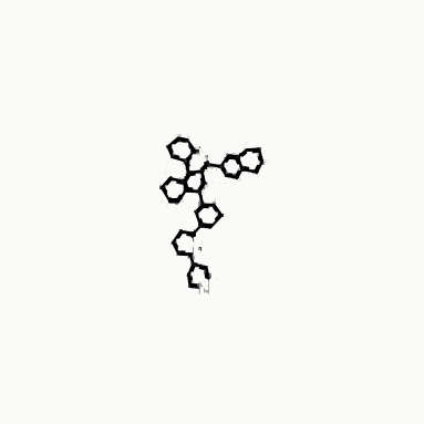 c1cc(-c2cccc(-c3ccncc3)n2)cc(-c2cc3c(-c4ccc5ccccc5c4)nc4ccccc4c3c3ccccc23)c1